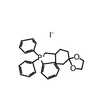 [I-].c1ccc([P+](CC2CCC3(CC2)OCCO3)(c2ccccc2)c2ccccc2)cc1